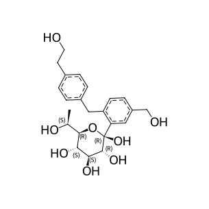 C[C@H](O)[C@H]1O[C@](O)(c2cc(CO)ccc2Cc2ccc(CCO)cc2)[C@H](O)[C@@H](O)[C@@H]1O